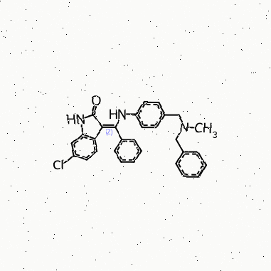 CN(Cc1ccccc1)Cc1ccc(N/C(=C2\C(=O)Nc3cc(Cl)ccc32)c2ccccc2)cc1